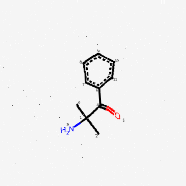 CC(C)(N)C(=O)c1cc[c]cc1